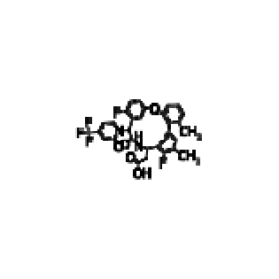 Cc1cc2cc(c1F)C(CC(=O)O)NC(=O)C(n1ccc(C(F)(F)F)cc1=O)c1cc(ccc1F)Oc1cccc(C)c1-2